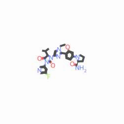 CC(C)C1C(=O)N(c2cncc(F)c2)C(=O)N1c1cn2c(n1)-c1ccc(N3CCC[C@H]3C(N)=O)cc1OCC2